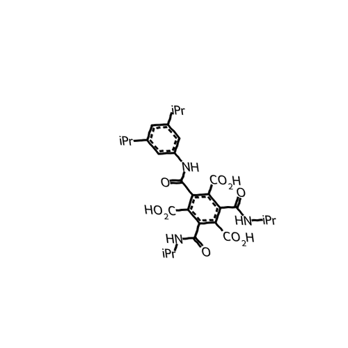 CC(C)NC(=O)c1c(C(=O)O)c(C(=O)Nc2cc(C(C)C)cc(C(C)C)c2)c(C(=O)O)c(C(=O)NC(C)C)c1C(=O)O